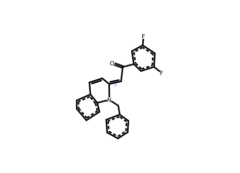 O=C(/C=C1\C=Cc2ccccc2N1Cc1ccccc1)c1cc(F)cc(F)c1